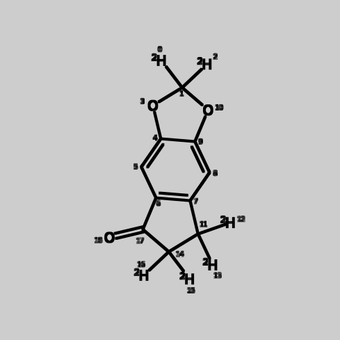 [2H]C1([2H])Oc2cc3c(cc2O1)C([2H])([2H])C([2H])([2H])C3=O